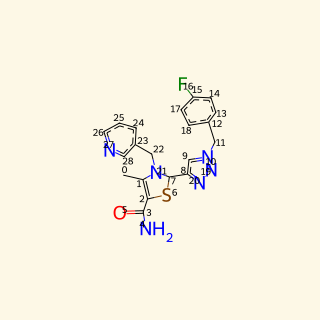 CC1=C(C(N)=O)SC(c2cn(Cc3ccc(F)cc3)nn2)N1Cc1cccnc1